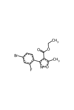 CCOC(=O)c1c(-c2ccc(Br)cc2F)noc1C